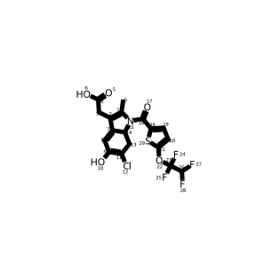 CC1=C(CC(=O)O)C2=CC(O)=C(Cl)CC2N1C(=O)c1ccc(OC(F)(F)C(F)F)s1